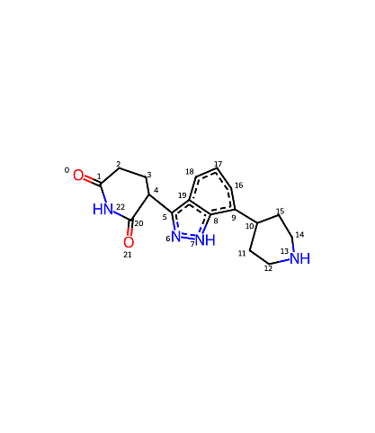 O=C1CCC(c2n[nH]c3c(C4CCNCC4)cccc23)C(=O)N1